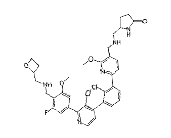 COc1cc(-c2nccc(-c3cccc(-c4ccc(CNCC5CCC(=O)N5)c(OC)n4)c3Cl)c2Cl)cc(F)c1CNCC1CCO1